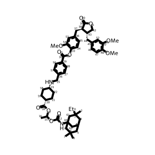 CCC1(C)CC2CC(C)(C)CC(NC(=O)OC(C)OC(=O)[C@H]3CC[C@@H](NCc4ccc(C(=O)Oc5ccc(C[C@H]6C(=O)OC[C@@H]6Cc6ccc(OC)c(OC)c6)cc5OC)cc4)CC3)(C2)C1